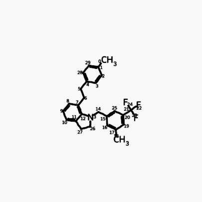 Cc1ccc(CCc2cccc3c2N(Cc2cc(C)cc(C(F)(F)F)c2)CC3)cc1